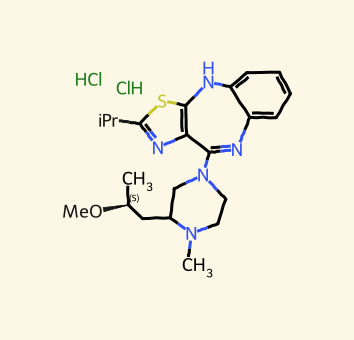 CO[C@@H](C)CC1CN(C2=Nc3ccccc3Nc3sc(C(C)C)nc32)CCN1C.Cl.Cl